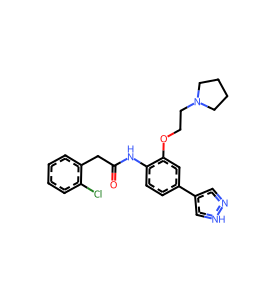 O=C(Cc1ccccc1Cl)Nc1ccc(-c2cn[nH]c2)cc1OCCN1CCCC1